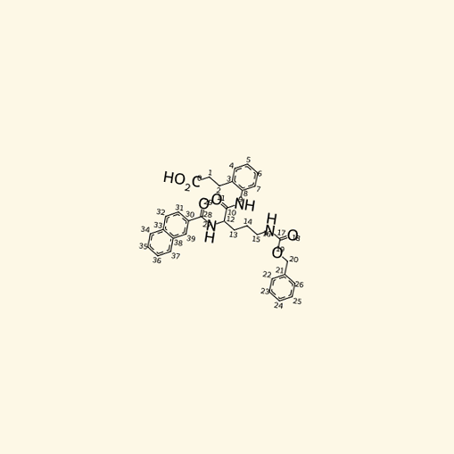 O=C(O)CCc1ccccc1NC(=O)C(CCCNC(=O)OCc1ccccc1)NC(=O)c1ccc2ccccc2c1